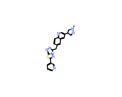 CN1CC(c2cnc3ccc(Cc4nnc5sc(-c6cccnc6)nn45)cc3c2)C=N1